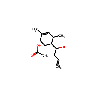 C=CCC(O)C1CCC(C)=CC1C.CC(=O)O